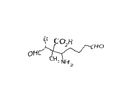 CCC(C=O)C(C)(C(=O)O)C(N)CCCC=O